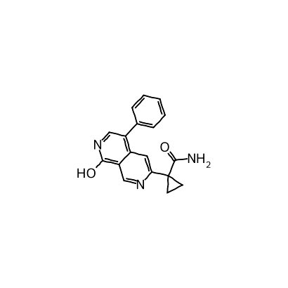 NC(=O)C1(c2cc3c(-c4ccccc4)cnc(O)c3cn2)CC1